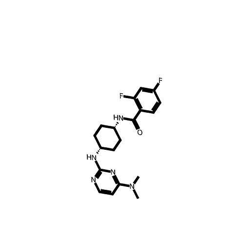 CN(C)c1ccnc(N[C@H]2CC[C@@H](NC(=O)c3ccc(F)cc3F)CC2)n1